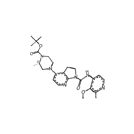 COc1c(NC(=O)N2CCc3c(N4CCN(C(=O)OC(C)(C)C)[C@@H](C)C4)ccnc32)ccnc1C